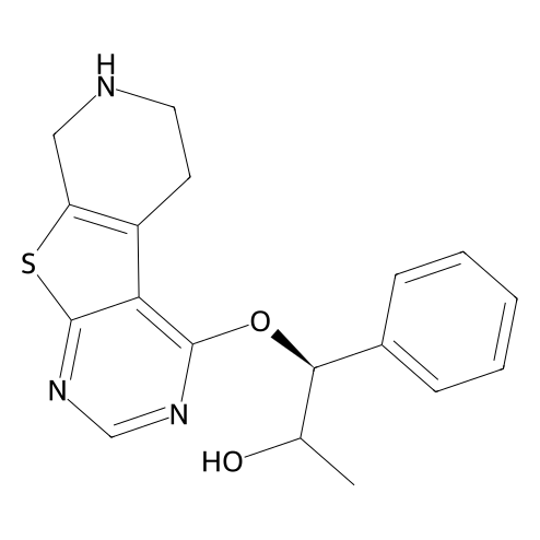 CC(O)[C@@H](Oc1ncnc2sc3c(c12)CCNC3)c1ccccc1